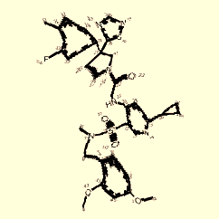 COc1ccc(CN(C)S(=O)(=O)c2cnc(C3CC3)cc2NC(=O)N2CC[C@](c3ccc(C)c(F)c3)(c3ncns3)C2)c(OC)c1